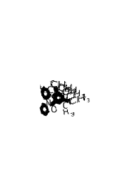 CC(C)(C)c1cc(C(=O)N(C2CCCCC2)C2CCCCC2)cc(C(C)(C)C)c1O